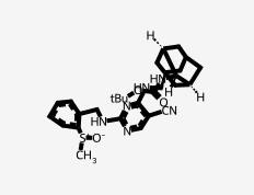 C[S+]([O-])c1ccccc1CNc1ncc(C#N)c(NC[C@]23CC4C[C@H](C2)[C@@H](NC(=O)OC(C)(C)C)[C@@H](C4)C3)n1